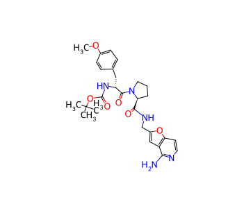 COc1ccc(C[C@@H](NC(=O)OC(C)(C)C)C(=O)N2CCC[C@H]2C(=O)NCc2cc3c(N)nccc3o2)cc1